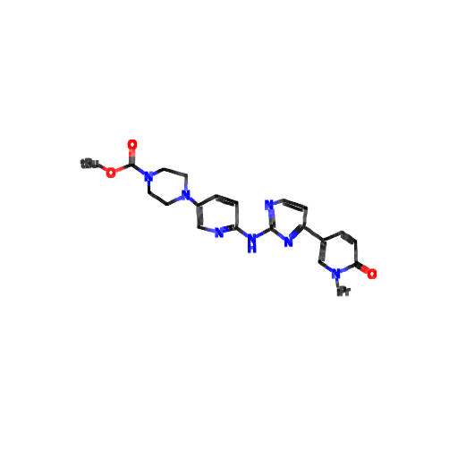 CC(C)n1cc(-c2ccnc(Nc3ccc(N4CCN(C(=O)OC(C)(C)C)CC4)cn3)n2)ccc1=O